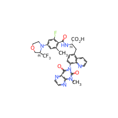 Cc1cc(N2CCOC[C@@H]2C(F)(F)F)cc(F)c1C(=O)N[C@@H](Cc1ccc(-n2c(=O)c3nccnc3n(C)c2=O)c2ncccc12)C(=O)O